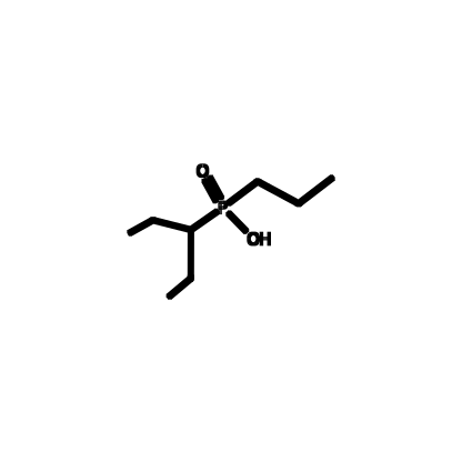 CCCP(=O)(O)C(CC)CC